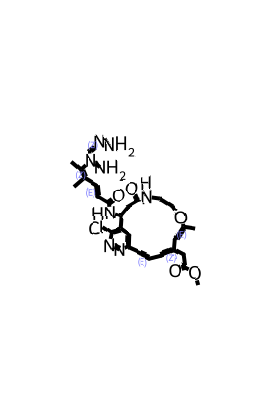 COC(=O)CC1=C/C=C/c2cc(c(Cl)nn2)C(NC(=O)/C=C/C(C)=C(/C)N(N)/C=N\N)CC(=O)NCCO\C(C)=C\1